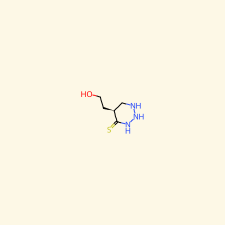 OCC[C@H]1CNNNC1=S